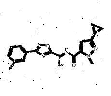 CC(C)[C@H](NC(=O)c1cc(C2CC2)nn1C)c1nc(-c2cccc(F)c2)no1